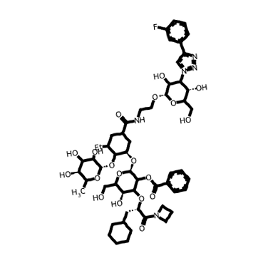 CCC1CC(C(=O)NCCO[C@H]2OC(CO)[C@@H](O)C(n3cc(-c4cccc(F)c4)nn3)C2O)C[C@@H](O[C@@H]2OC(CO)[C@H](O)C(O[C@@H](CC3CCCCC3)C(=O)N3CCC3)C2OC(=O)c2ccccc2)C1O[C@@H]1OC(C)[C@@H](O)C(O)C1O